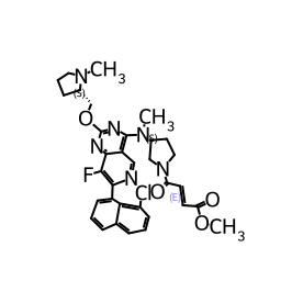 COC(=O)/C=C/C(=O)N1CC[C@H](N(C)c2nc(OC[C@@H]3CCCN3C)nc3c(F)c(-c4cccc5cccc(Cl)c45)ncc23)C1